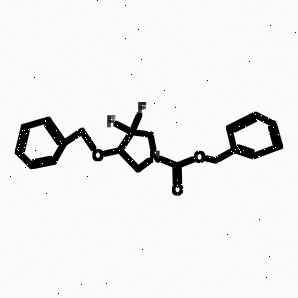 O=C(OCc1ccccc1)N1CC(OCc2ccccc2)C(F)(F)C1